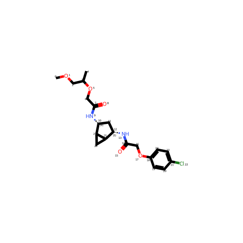 COCC(C)OCC(=O)N[C@@H]1C[C@H](NC(=O)COc2ccc(Cl)cc2)C2CC21